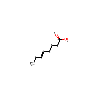 CCC=CCCCC(=O)O